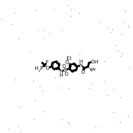 CCOc1cc(NC(=O)[C@H](CO)C(C)C)ccc1S(=O)(=O)Nc1cccc(OC(C)(F)P)c1